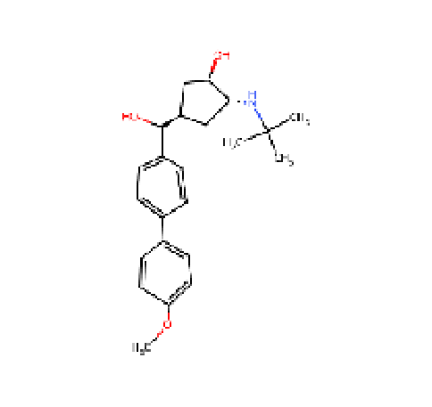 COc1ccc(-c2ccc(C(O)[C@H]3C[C@@H](O)[C@H](NC(C)(C)C)C3)cc2)cc1